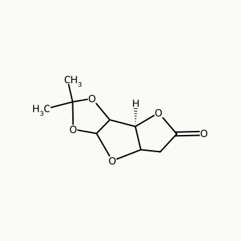 CC1(C)OC2OC3CC(=O)O[C@@H]3C2O1